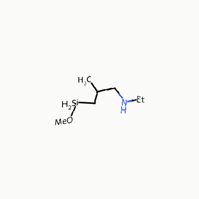 CCNCC(C)C[SiH2]OC